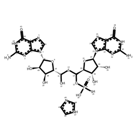 Nc1nc2c(ncn2[C@@H]2O[C@H](C(O)SC(OP(=O)(O)S)[C@H]3O[C@@H](n4cnc5c(=O)[nH]c(N)nc54)[C@H](O)[C@@H]3O)[C@@H](O)[C@H]2O)c(=O)[nH]1.c1c[nH]cn1